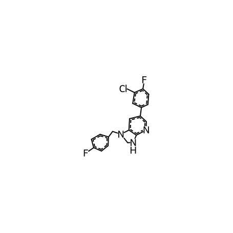 Fc1ccc(CN2CNc3ncc(-c4ccc(F)c(Cl)c4)cc32)cc1